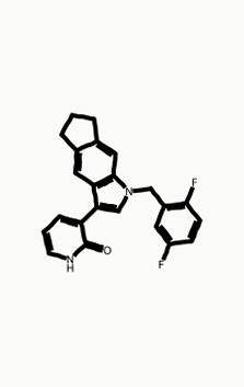 O=c1[nH]cccc1-c1cn(Cc2cc(F)ccc2F)c2cc3c(cc12)CCC3